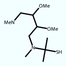 CNCC(OC)C(CN(C)C(C)(C)S)OC